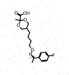 C/C(=N/OCCCCC1COC(C)(C(=O)O)OC1)c1ccc(F)cc1